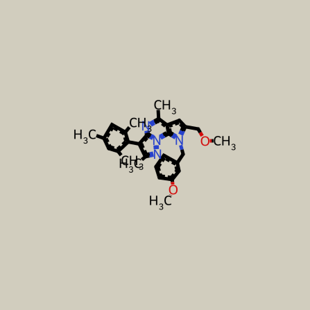 COCc1cc2c(C)nc3c(-c4c(C)cc(C)cc4C)c(C)nn3c2n1Cc1cccc(OC)c1